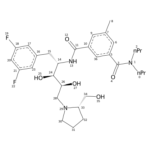 CCCN(CCC)C(=O)c1cc(C)cc(C(=O)N[C@@H](Cc2cc(F)cc(F)c2)[C@H](O)[C@@H](O)CN2CCC[C@H]2CO)c1